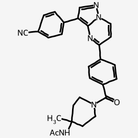 CC(=O)NC1(C)CCN(C(=O)c2ccc(-c3ccn4ncc(-c5ccc(C#N)cc5)c4n3)cc2)CC1